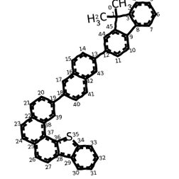 CC1(C)c2ccccc2-c2ccc(-c3ccc4cc(-c5ccc6ccc7ccc8c9ccccc9sc8c7c6c5)ccc4c3)cc21